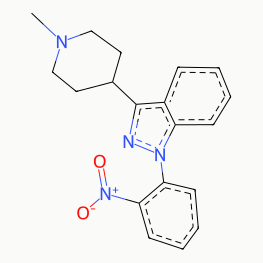 CN1CCC(c2nn(-c3ccccc3[N+](=O)[O-])c3ccccc23)CC1